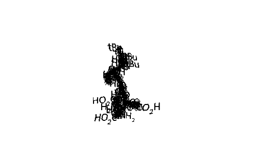 Cc1cc(C(=O)NCCN(CCCN(CCc2c(C(N)=O)c(C)n(CC(=O)O)c(=O)c2O)CCc2c(C(N)=O)c(C)n(CC(=O)O)c(=O)c2O)CCNC(=O)c2cc(C)n(CC(=O)NCc3ccc(C(=O)N[C@@H](Cc4ccc5ccccc5c4)C(=O)NCCCC[C@H](NC(=O)N[C@H](CCC(=O)OC(C)(C)C)C(=O)OC(C)(C)C)C(=O)OC(C)(C)C)nc3)c(=O)c2O)c(O)c(=O)n1CC(=O)O